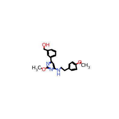 COc1ccc(CCNc2cc(-c3cccc(CO)c3)nc(OC)n2)cc1